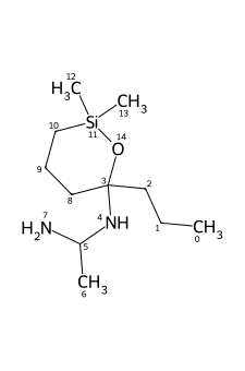 CCCC1(NC(C)N)CCC[Si](C)(C)O1